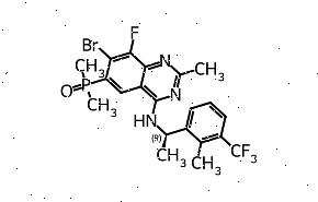 Cc1nc(N[C@H](C)c2cccc(C(F)(F)F)c2C)c2cc(P(C)(C)=O)c(Br)c(F)c2n1